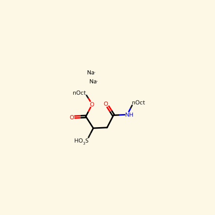 CCCCCCCCNC(=O)CC(C(=O)OCCCCCCCC)S(=O)(=O)O.[Na].[Na]